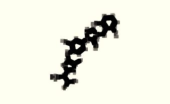 Cc1nc(C(N)C(F)F)sc1Oc1ccc(-n2ncn(Cc3c(F)cccc3F)c2=O)cc1F